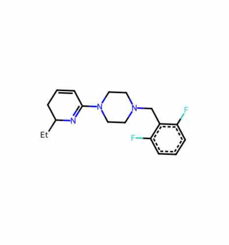 CCC1CC=CC(N2CCN(Cc3c(F)cccc3F)CC2)=N1